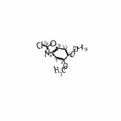 COc1cc2nc(Cl)oc2cc1OC